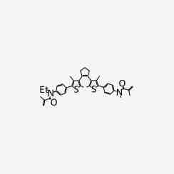 C=C(C)C(=O)N(C)c1ccc(-c2sc(C)c(C3=C(c4c(C)sc(-c5ccc(N(CC)C(=O)C(=C)C)cc5)c4C)CCC3)c2C)cc1